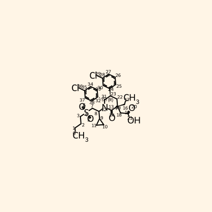 CCCCS(=O)(=O)CC(C1CC1)N1C(=O)[C@@](CC)(CC(=O)O)C[C@H](c2cccc(Cl)c2)[C@H]1c1ccc(Cl)cc1